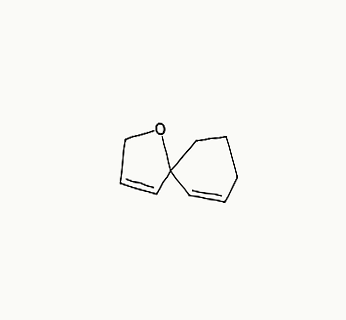 C1=CC2(C=CCO2)CCC1